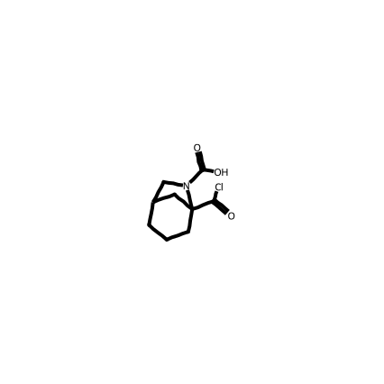 O=C(O)N1CC2CCCC1(C(=O)Cl)C2